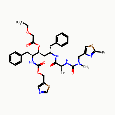 CC(C)c1nc(CN(C)C(=O)N[C@H](C(=O)N[C@@H](Cc2ccccc2)C[C@H](OC(=O)COCC(=O)O)[C@H](Cc2ccccc2)NC(=O)OCc2cncs2)C(C)C)cs1